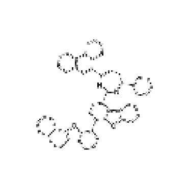 C1=C(c2cc3ccccc3c3ccccc23)N=C(c2ccc(-c3cccc4c3oc3c5ccccc5ccc43)c3oc4ccccc4c23)N=C(c2ccccc2)C1